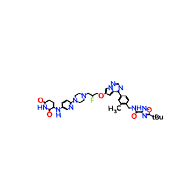 Cc1cc(-c2ncnn3cc(OCC(F)CN4CCN(c5ccc(NC6CCC(=O)NC6=O)cn5)CC4)cc23)ccc1CNC(=O)c1noc(C(C)(C)C)n1